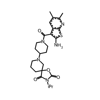 Cc1cc2c(C(=O)N3CCC(N4CCCC5(C4)OC(=O)N(C(C)C)C5=O)CC3)c(N)sc2nc1C